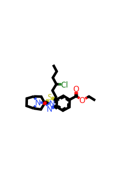 CCCC(Cl)CCN(C)C1CC2CCC(C1)N2c1nc2ccc(C(=O)OCC)cc2s1